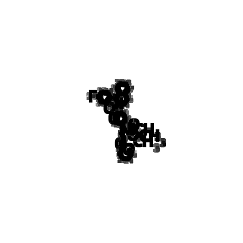 CC(C)(C)OC(=O)N(CCOC1CCCCO1)[C@H]1CC[C@@H](C(=O)N2CCc3ccccc3[C@@H]2c2ccc(F)cc2)OC1